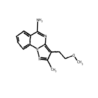 COCCc1c(C)nn2c1nc(N)c1ccccc12